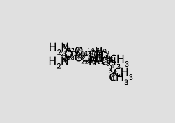 CC(C)CCC[C@@H](C)[C@H]1CC[C@H]2[C@@H]3CCC4C[C@@H](OC(=O)c5cc(N)cc(N)c5)CC[C@]4(C)[C@H]3CC[C@]12C